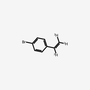 [2H]C([2H])=C([2H])c1ccc(Br)cc1